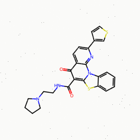 O=C(NCCN1CCCC1)c1c(=O)c2ccc(-c3ccsc3)nc2n2c1sc1ccccc12